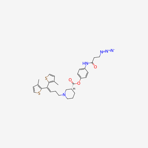 Cc1ccsc1C(=CCCN1CCC[C@@H](C(=O)Oc2ccc(NC(=O)CCN=[N+]=[N-])cc2)C1)c1sccc1C